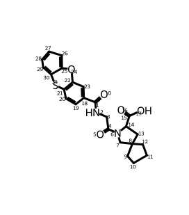 O=C(NCC(=O)N1CC2(CCCC2)CC1C(=O)O)c1ccc2c(c1)Oc1ccccc1S2